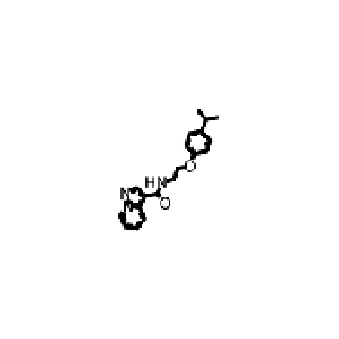 CC(C)c1ccc(OCCNC(=O)c2cnn3ccccc23)cc1